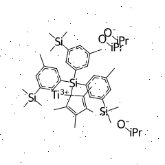 CC(C)[O-].CC(C)[O-].CC(C)[O-].CC1=C(C)[C]([Ti+3])([Si](c2cc(C)cc([Si](C)(C)C)c2)(c2cc(C)cc([Si](C)(C)C)c2)c2cc(C)cc([Si](C)(C)C)c2)C(C)=C1C